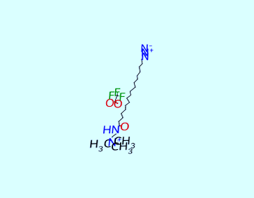 C[N+](C)(C)CCNC(=O)CCCCCCCCCCCCCCCCCN=[N+]=[N-].O=C([O-])C(F)(F)F